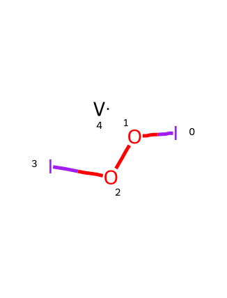 IOOI.[V]